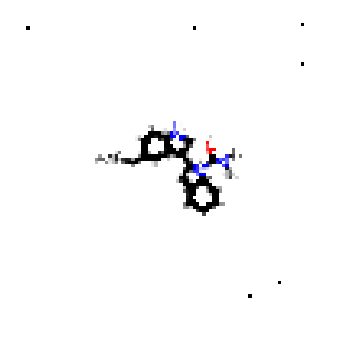 CCN(CC)C(=O)n1c(-c2c[nH]c3ccc(CNC(C)=O)cc23)[c]c2ccccc21